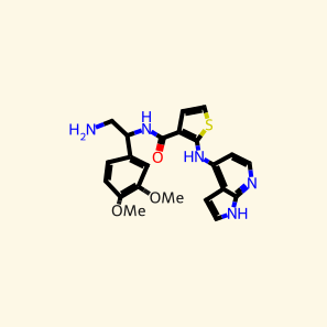 COc1ccc(C(CN)NC(=O)c2ccsc2Nc2ccnc3[nH]ccc23)cc1OC